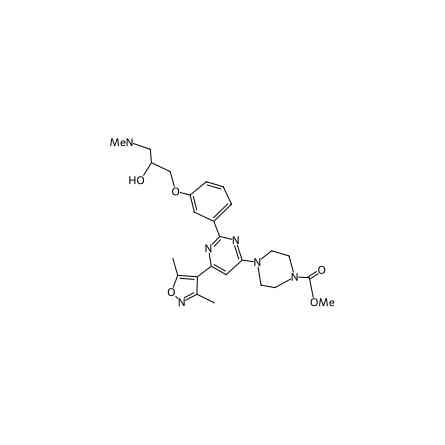 CNCC(O)COc1cccc(-c2nc(-c3c(C)noc3C)cc(N3CCN(C(=O)OC)CC3)n2)c1